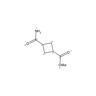 COC(=O)C1CC(C(N)=O)C1